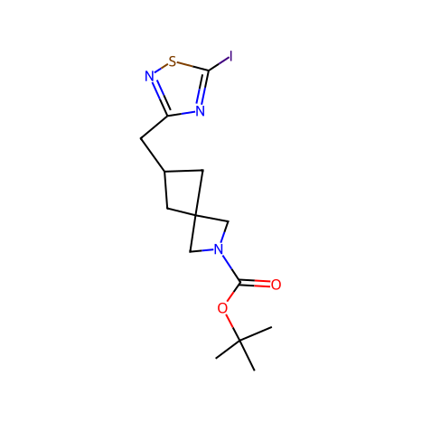 CC(C)(C)OC(=O)N1CC2(CC(Cc3nsc(I)n3)C2)C1